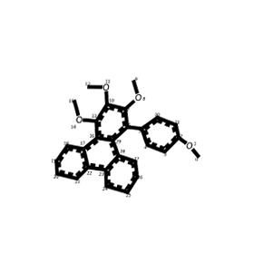 COc1ccc(-c2c(OC)c(OC)c(OC)c3c4ccccc4c4ccccc4c23)cc1